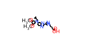 COc1cc(OC)cc(N(CC2CC2)c2ccc3ncc(-c4cnn(CCCCC(=O)O)c4)nc3c2)c1